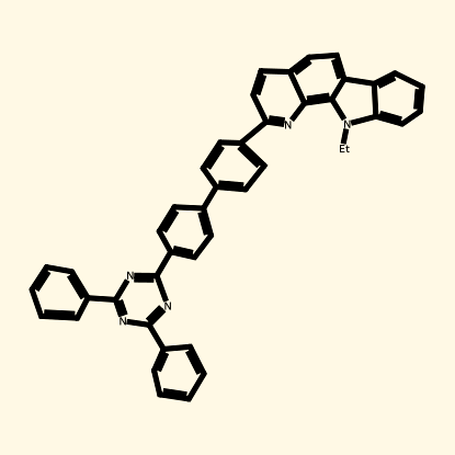 CCn1c2ccccc2c2ccc3ccc(-c4ccc(-c5ccc(-c6nc(-c7ccccc7)nc(-c7ccccc7)n6)cc5)cc4)nc3c21